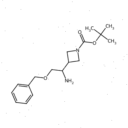 CC(C)(C)OC(=O)N1CC(C(N)COCc2ccccc2)C1